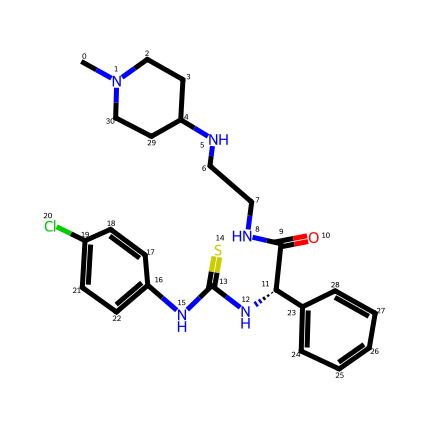 CN1CCC(NCCNC(=O)[C@@H](NC(=S)Nc2ccc(Cl)cc2)c2ccccc2)CC1